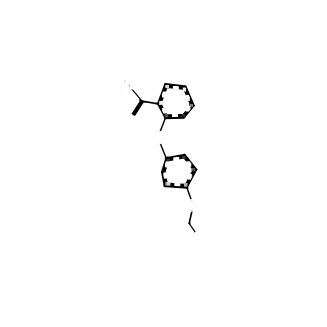 CCOc1ccc(Oc2ccccc2C(N)=O)cc1